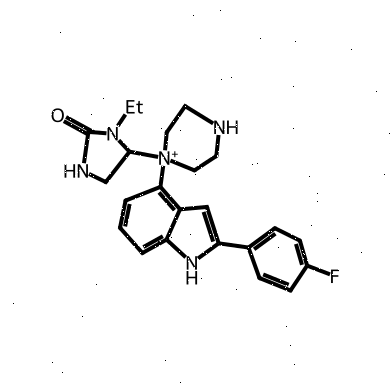 CCN1C(=O)NCC1[N+]1(c2cccc3[nH]c(-c4ccc(F)cc4)cc23)CCNCC1